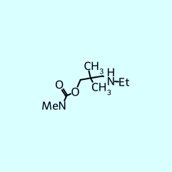 CCNCC(C)(C)COC(=O)NC